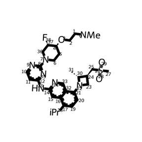 CNCCO[C@@H]1CCN(c2nccc(Nc3cc4c(C(C)C)ccc(N5C[C@H](CS(C)(=O)=O)[C@H]5C)c4cn3)n2)C[C@@H]1F